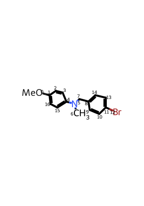 COc1ccc(N(C)Cc2ccc(Br)cc2)cc1